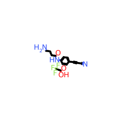 N#CC#Cc1ccc(NC(=O)CCCN)cc1.O=C(O)C(F)(F)F